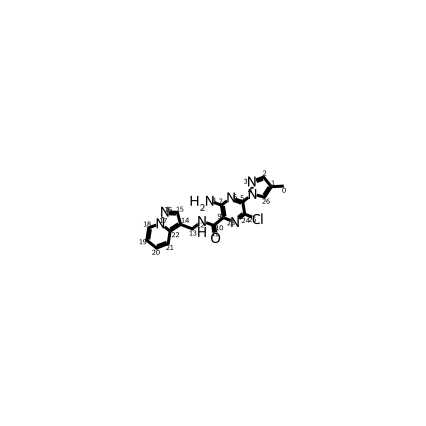 Cc1cnn(-c2nc(N)c(C(=O)NCc3cnn4ccccc34)nc2Cl)c1